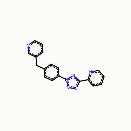 c1ccc(-c2nnn(-c3ccc(Cc4cccnc4)cc3)n2)nc1